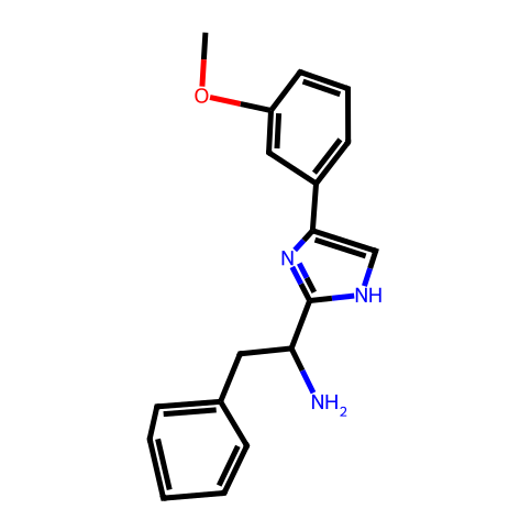 COc1cccc(-c2c[nH]c(C(N)Cc3ccccc3)n2)c1